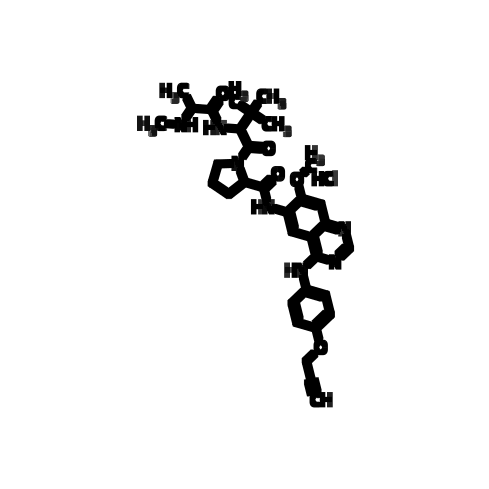 C#CCOc1ccc(Nc2ncnc3cc(OC)c(NC(=O)C4CCCN4C(=O)C(NC(=O)C(C)NC)C(C)(C)C)cc23)cc1.Cl